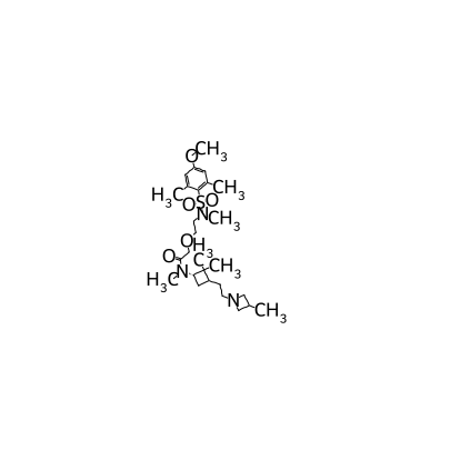 COc1cc(C)c(S(=O)(=O)N(C)CCOCC(=O)N(C)[C@H]2CC(CCN3CC(C)C3)C2(C)C)c(C)c1